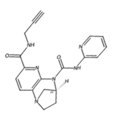 C#CCNC(=O)c1ccc2c(n1)N(C(=O)Nc1ccccn1)[C@H]1CCN2C1